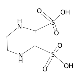 O=S(=O)(O)C1NCCNC1S(=O)(=O)O